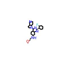 COCCNc1ccc2c(-n3ccc4cnccc43)nc(-c3ccccc3F)nc2c1